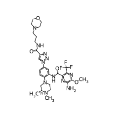 COc1nc(C(F)(F)F)c(C(=O)Nc2cc(-n3cc(C(=O)NCCCN4CCOCC4)nn3)ccc2N2CCN(C)[C@@H](C)C2)nc1N